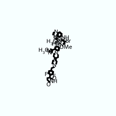 COc1cc(N2CCC(N3CCN(CCc4cc(F)c(C5CCC(=O)NC5=O)c(F)c4)CC3)CC2)c(-c2cnn(C)c2)cc1Nc1ncc(Br)c(Nc2ccc3nccnc3c2NS(C)(=O)=O)n1